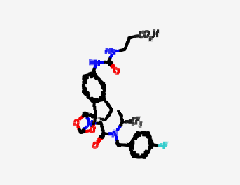 C[C@H](N(Cc1ccc(F)cc1)C(=O)CN1C2OC1[C@]1(CCc3cc(NC(=O)NCCC(=O)O)ccc31)O2)C(F)(F)F